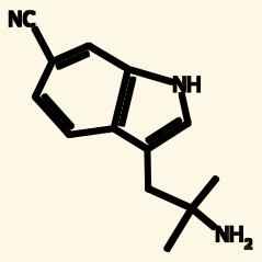 CC(C)(N)Cc1c[nH]c2cc(C#N)ccc12